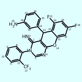 N=c1c2c(ncn1-c1ccccc1C(F)(F)F)Oc1cc(F)cc(F)c1C2c1cccc(N)c1